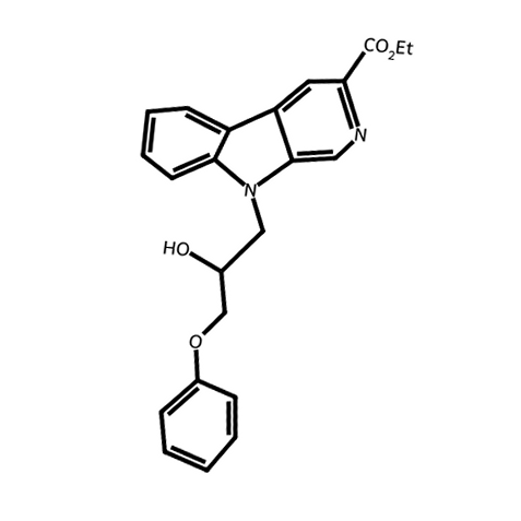 CCOC(=O)c1cc2c3ccccc3n(CC(O)COc3ccccc3)c2cn1